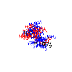 CC(C)C[C@H](NC(=O)[C@H](CCC(=O)O)NC(=O)[C@H](CCCNC(=N)N)NC(=O)[C@H](CC(=O)O)NC(=O)[C@H](CO)NC(=O)[C@@H]1CCCN1C(=O)[C@H](CCCNC(=N)N)NC(=O)[C@H](CCCNC(=N)N)NC(=O)[C@H](CC(C)C)NC(=O)[C@@H](N)CCC(N)=O)C(=O)N[C@@H](CO)C(=O)N[C@@H](CCC(=O)O)C(=O)O